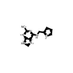 N#Cc1nc(NCc2ccco2)c2nc[nH]c2n1